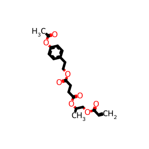 C=CC(=O)OCC(C)OC(=O)CCC(=O)OCCc1ccc(OC(C)=O)cc1